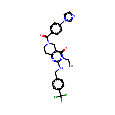 CCn1c(NCc2ccc(C(F)(F)F)cc2)nc2c(c1=O)CN(C(=O)c1ccc(-n3ccnc3)cc1)CC2